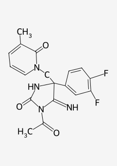 CC(=O)N1C(=N)C(Cn2cccc(C)c2=O)(c2ccc(F)c(F)c2)NC1=O